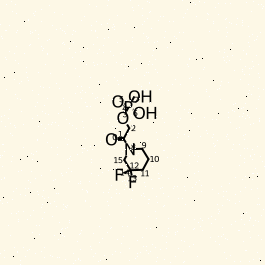 O=C(COP(=O)(O)O)N1CCCC(F)(F)C1